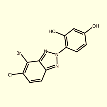 Oc1ccc(-n2nc3ccc(Cl)c(Br)c3n2)c(O)c1